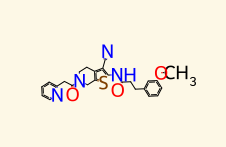 COc1cccc(CCC(=O)Nc2sc3c(c2C#N)CCN(C(=O)Cc2ccccn2)C3)c1